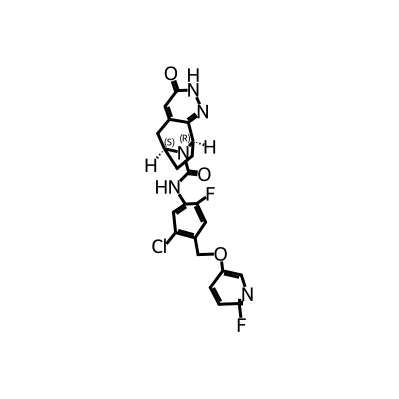 O=C(Nc1cc(Cl)c(COc2ccc(F)nc2)cc1F)N1[C@H]2CC[C@@H]1c1n[nH]c(=O)cc1C2